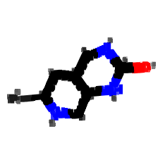 CC(C)c1cc2cnc(=O)[nH]c2cn1